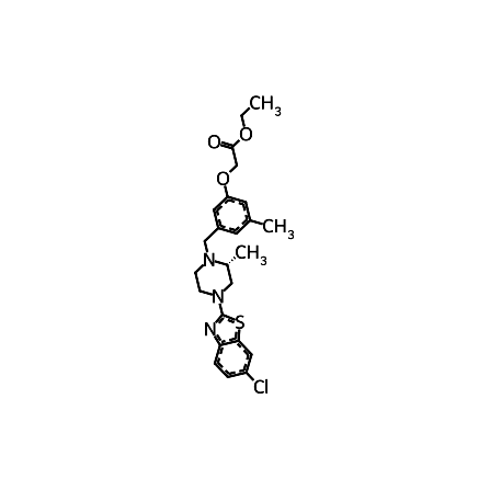 CCOC(=O)COc1cc(C)cc(CN2CCN(c3nc4ccc(Cl)cc4s3)C[C@H]2C)c1